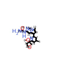 CO[C@]1(c2cc(C)cc(-c3cc(C)n4cnc(NC(N)=O)cc34)n2)CCOC1